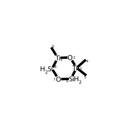 [CH3][Ti]1[O][Ti]([CH3])([CH3])[SiH2]O[SiH2]1